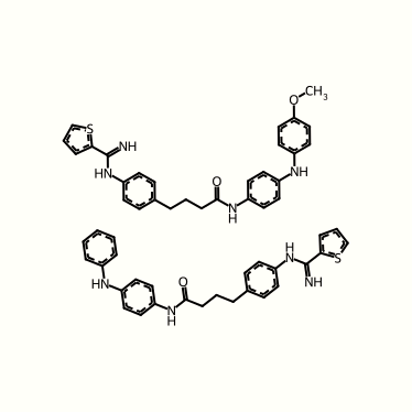 COc1ccc(Nc2ccc(NC(=O)CCCc3ccc(NC(=N)c4cccs4)cc3)cc2)cc1.N=C(Nc1ccc(CCCC(=O)Nc2ccc(Nc3ccccc3)cc2)cc1)c1cccs1